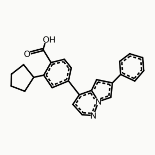 O=C(O)c1ccc(-c2ccnn3cc(-c4ccccc4)cc23)cc1C1CCCC1